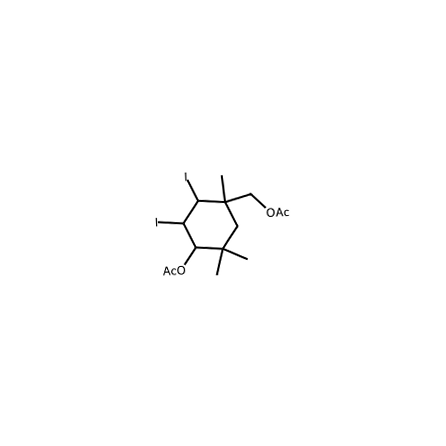 CC(=O)OCC1(C)CC(C)(C)C(OC(C)=O)C(I)C1I